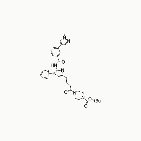 Cn1cc(-c2cccc(C(=O)Nc3nc(CCCC(=O)N4CCN(C(=O)OC(C)(C)C)CC4)cn3-c3ccccc3)c2)cn1